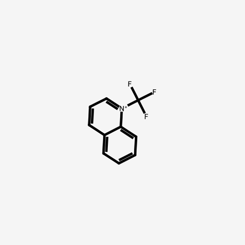 FC(F)(F)[n+]1cccc2ccccc21